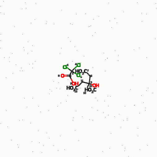 O=C(O)C(Cl)(Cl)Cl.O=C(O)CC(O)(CC(=O)O)C(=O)O